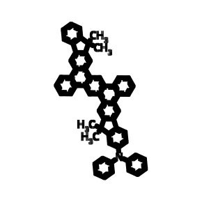 CC1(C)c2ccccc2-c2cc3c4ccccc4c4cc5c6cc7c(cc6c6ccccc6c5cc4c3cc21)-c1ccc(N(c2ccccc2)c2ccccc2)cc1C7(C)C